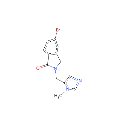 Cn1cncc1CN1Cc2cc(Br)ccc2C1=O